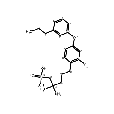 CCCc1cccc(Oc2ccc(CCCC(C)(N)CP(=O)(O)O)c(Cl)c2)c1